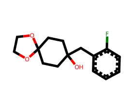 OC1(Cc2ccccc2F)CCC2(CC1)OCCO2